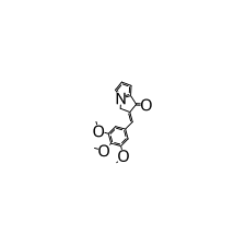 COc1cc(/C=C2\Cn3cccc3C2=O)cc(OC)c1OC